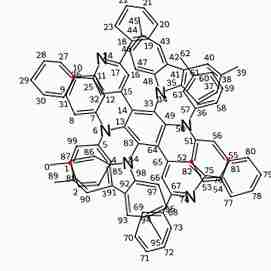 Cc1cccc(N(c2ccccc2)c2c(-c3cc(-c4ccccc4)nc(-c4ccccc4)c3)c(-n3c4ccc(C)cc4c4cc(C)ccc43)c(N(c3ccccc3)c3cccc(C)c3)c(-c3cc(-c4ccccc4)nc(-c4ccccc4)c3)c2-n2c3ccc(C)cc3c3cc(C)ccc32)c1